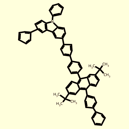 CC(C)(C)c1ccc2c(-c3ccc(-c4ccc(-c5ccc6c(c5)c5cc(-c7ccccc7)ccc5n6-c5ccccc5)cc4)cc3)c3cc(C(C)(C)C)ccc3c(-c3ccc(-c4ccccc4)cc3)c2c1